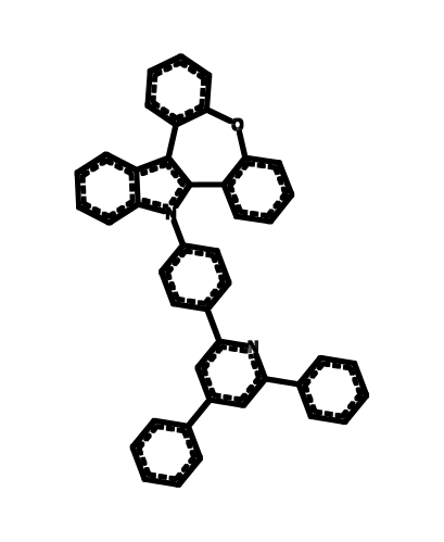 c1ccc(-c2cc(-c3ccccc3)nc(-c3ccc(-n4c5c(c6ccccc64)-c4ccccc4Oc4ccccc4-5)cc3)c2)cc1